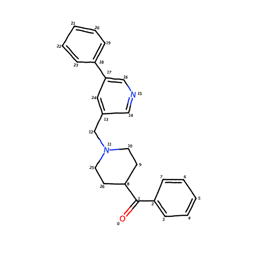 O=C(c1ccccc1)C1CCN(Cc2cncc(-c3ccccc3)c2)CC1